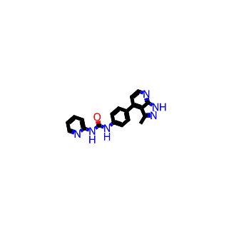 Cc1n[nH]c2nccc(-c3ccc(NC(=O)Nc4ccccn4)cc3)c12